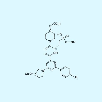 CCCCOP(=O)(O)CC[C@H](NC(=O)c1cc(N2CC[C@H](OC)C2)nc(-c2ccc(C)cc2)n1)C(=O)N1CCN(OC(=O)O)CC1